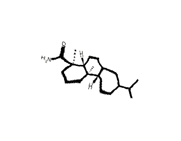 CC(C)C1CC[C@H]2C(CC[C@@H]3[C@]2(C)CCC[C@@]3(C)C(N)=O)C1